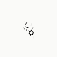 COc1ccc(C)cc1-n1nnn(CC(C)(C)O)c1=O